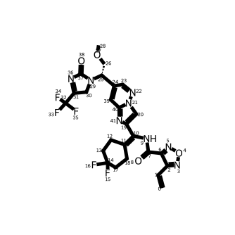 C=Cc1nonc1C(=O)NC(=C1CCC(F)(F)CC1)c1cn2ncc([C@@H](COC)N3CC(C(F)(F)F)=NC3=O)cc2n1